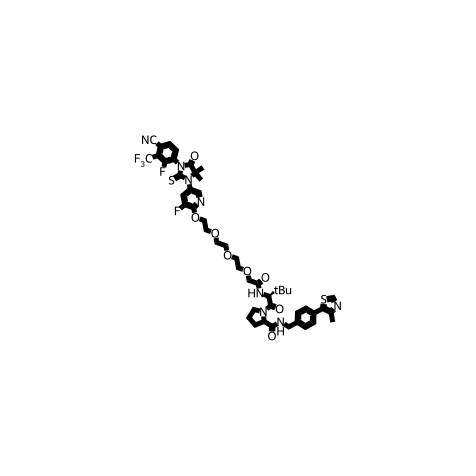 Cc1ncsc1-c1ccc(CNC(=O)C2CCCN2C(=O)[C@@H](NC(=O)COCCOCCOCCOc2ncc(N3C(=S)N(c4ccc(C#N)c(C(F)(F)F)c4F)C(=O)C3(C)C)cc2F)C(C)(C)C)cc1